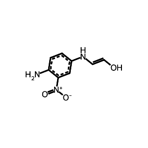 Nc1ccc(NC=CO)cc1[N+](=O)[O-]